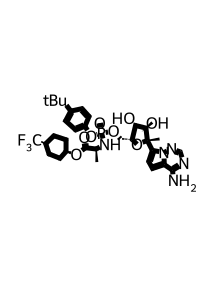 C[C@H](NP(=O)(OC[C@H]1O[C@@](C)(c2ccc3c(N)ncnn23)[C@H](O)[C@@H]1O)Oc1ccc(C(C)(C)C)cc1)C(=O)O[C@H]1CC[C@H](C(F)(F)F)CC1